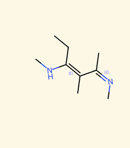 CC/C(NC)=C(C)\C(C)=N/C